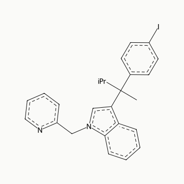 CC(C)C(C)(c1ccc(I)cc1)c1cn(Cc2ccccn2)c2ccccc12